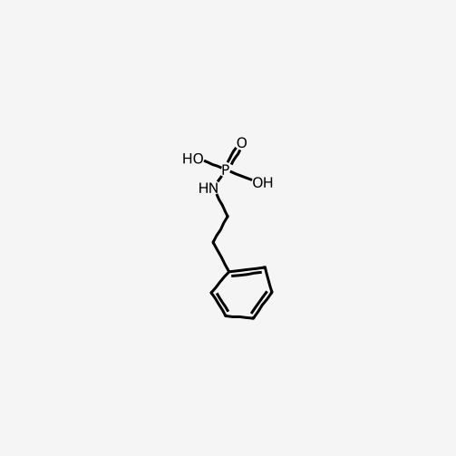 O=P(O)(O)NCCc1ccccc1